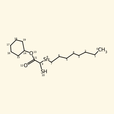 CCCCCCC[CH2][Sn][CH](S)C(=O)OC1CCCCC1